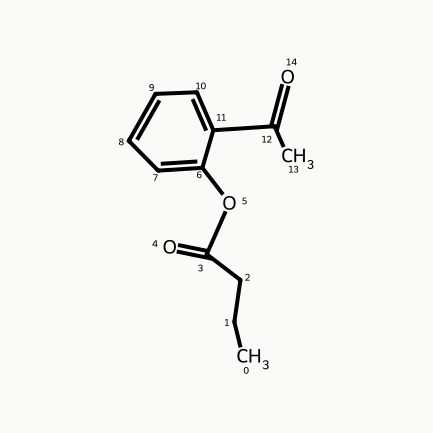 CCCC(=O)Oc1ccccc1C(C)=O